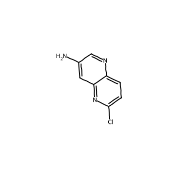 Nc1cnc2ccc(Cl)nc2c1